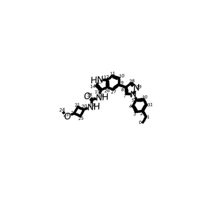 CCc1ccc(-n2cc(-c3ccc4[nH]cc(NC(=O)NC5CC(OC)C5)c4c3)cn2)cc1